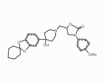 COc1ccc(N2CC(CN3CCC(O)(c4ccc5c(c4)OC4(CCCCC4)O5)CC3)OC2=O)cc1